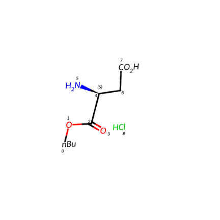 CCCCOC(=O)[C@@H](N)CC(=O)O.Cl